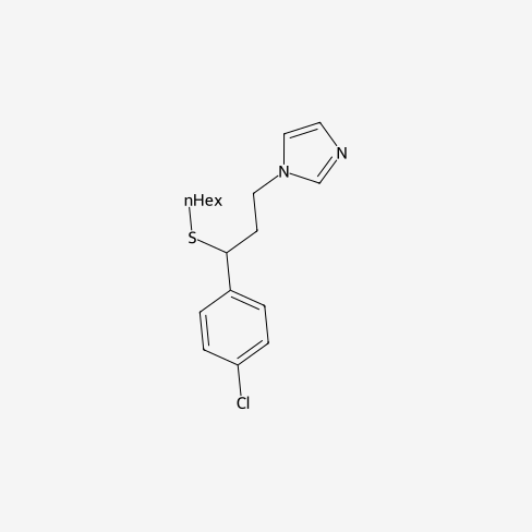 CCCCCCSC(CCn1ccnc1)c1ccc(Cl)cc1